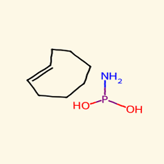 C1=C/CCCCCC/1.NP(O)O